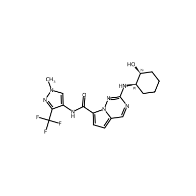 Cn1cc(NC(=O)c2ccc3cnc(N[C@@H]4CCCC[C@@H]4O)nn23)c(C(F)(F)F)n1